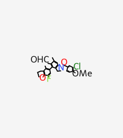 COc1ccc(C(=O)N2CCc3c2cc(C)c(CC=O)c3-c2cc(F)c3c(c2C)CCCO3)cc1Cl